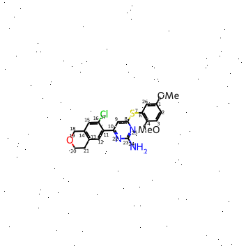 COc1ccc(OC)c(Sc2cc(-c3cc4c(cc3Cl)COCC4)nc(N)n2)c1